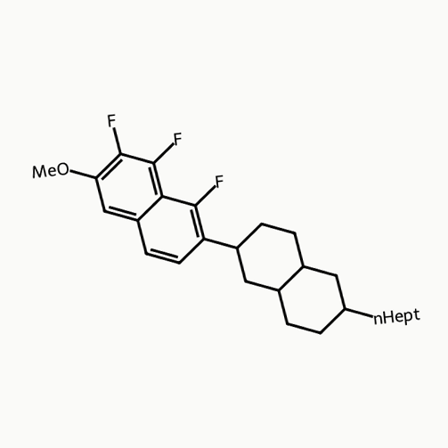 CCCCCCCC1CCC2CC(c3ccc4cc(OC)c(F)c(F)c4c3F)CCC2C1